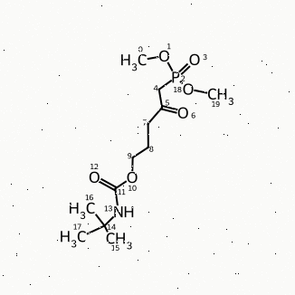 COP(=O)(CC(=O)CCCOC(=O)NC(C)(C)C)OC